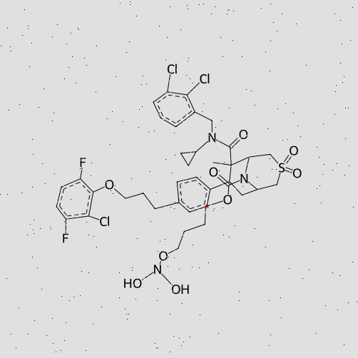 CC1(C(=O)N(Cc2cccc(Cl)c2Cl)C2CC2)C(c2ccc(CCCOc3c(F)ccc(F)c3Cl)cc2)CC2CS(=O)(=O)CC1N2C(=O)OCCCCON(O)O